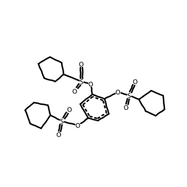 O=S(=O)(Oc1ccc(OS(=O)(=O)C2CCCCC2)c(OS(=O)(=O)C2CCCCC2)c1)C1CCCCC1